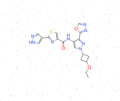 CCOC1CC(n2cc(NC(=O)c3csc(-c4cn[nH]c4)n3)c(-c3nnco3)n2)C1